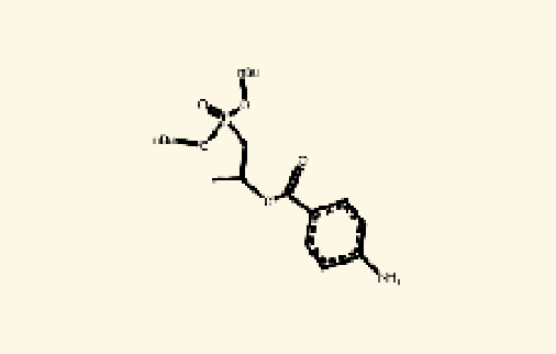 CCCCOP(=O)(CC(C)OC(=O)c1ccc(N)cc1)OCCCC